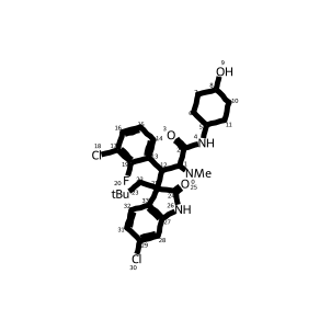 CNC(C(=O)NC1CCC(O)CC1)C(c1cccc(Cl)c1F)C1(CC(C)(C)C)C(=O)Nc2cc(Cl)ccc21